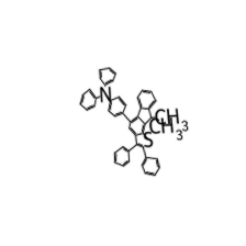 CC1(C)c2ccccc2-c2c(-c3ccc(N(c4ccccc4)c4ccccc4)cc3)cc3c(-c4ccccc4)c(-c4ccccc4)sc3c21